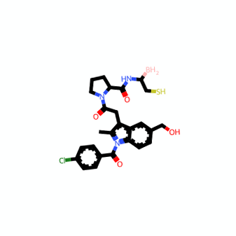 BC(CS)NC(=O)C1CCCN1C(=O)Cc1c(C)n(C(=O)c2ccc(Cl)cc2)c2ccc(CO)cc12